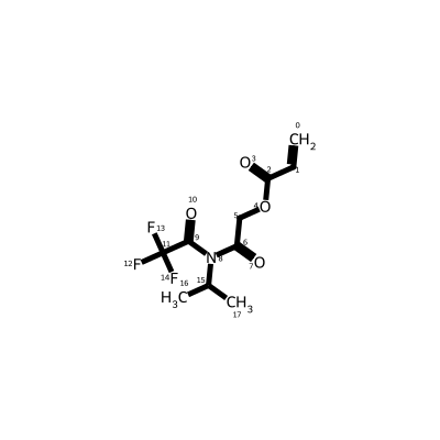 C=CC(=O)OCC(=O)N(C(=O)C(F)(F)F)C(C)C